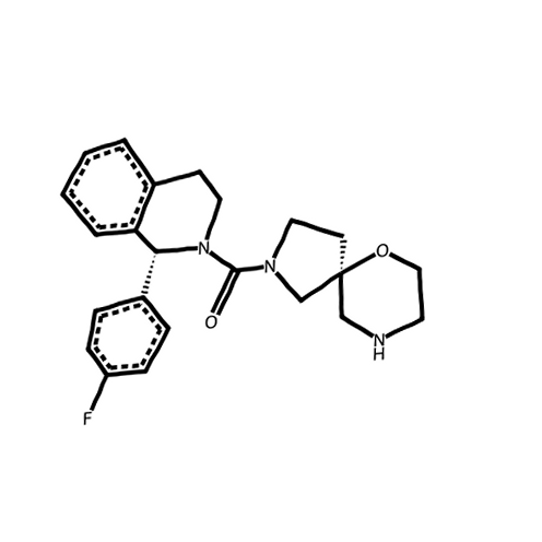 O=C(N1CC[C@]2(CNCCO2)C1)N1CCc2ccccc2[C@H]1c1ccc(F)cc1